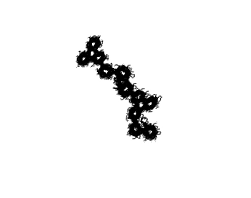 c1cc(-c2ccc3c4ccccc4c4ccccc4c3c2)cc(-c2cccc3c2sc2ccc(-c4ccc5c6ccccc6c6cc(-c7cccc8c7sc7ccccc78)ccc6c5c4)cc23)c1